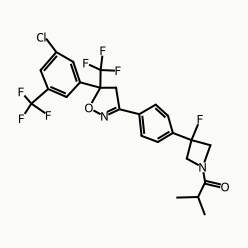 CC(C)C(=O)N1CC(F)(c2ccc(C3=NOC(c4cc(Cl)cc(C(F)(F)F)c4)(C(F)(F)F)C3)cc2)C1